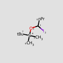 CCCC(I)O[Si](C)(C)C(C)(C)C